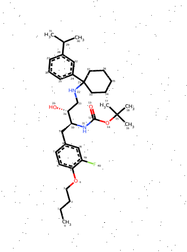 CCCCOc1ccc(C[C@H](NC(=O)OC(C)(C)C)[C@H](O)CNC2(c3cccc(C(C)C)c3)CCCCC2)cc1F